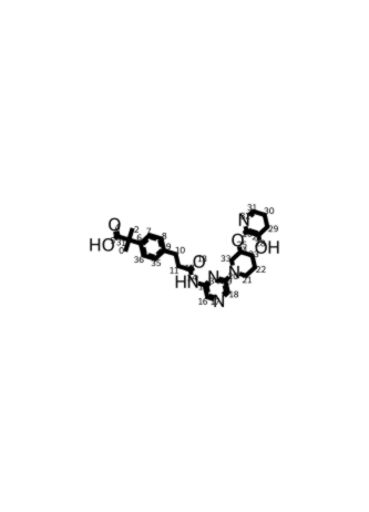 CC(C)(C(=O)O)c1ccc(CCC(=O)Nc2cncc(N3CCCC(OC4=C(O)CCC=N4)C3)n2)cc1